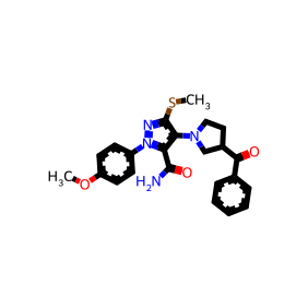 COc1ccc(-n2nc(SC)c(N3CCC(C(=O)c4ccccc4)C3)c2C(N)=O)cc1